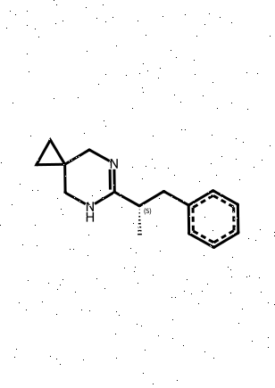 C[C@@H](Cc1ccccc1)C1=NCC2(CC2)CN1